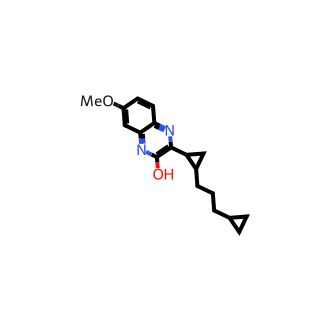 COc1ccc2nc(C3CC3CCCC3CC3)c(O)nc2c1